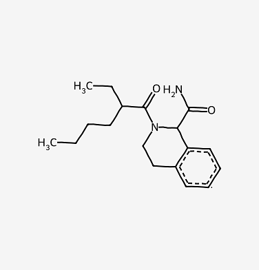 CCCCC(CC)C(=O)N1CCc2c[c]ccc2C1C(N)=O